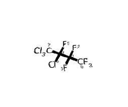 FC(F)(F)C(F)(F)C(F)(Cl)C(Cl)(Cl)Cl